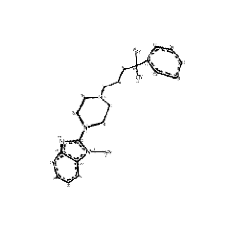 CC(C)n1c(N2CCN(CCCC(C#N)(c3ccccc3)C(C)C)CC2)nc2ccccc21